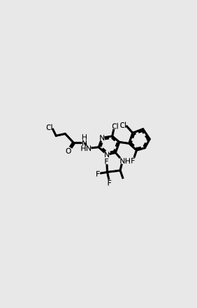 CC(Nc1nc(NNC(=O)CCCl)nc(Cl)c1-c1c(F)cccc1Cl)C(F)(F)F